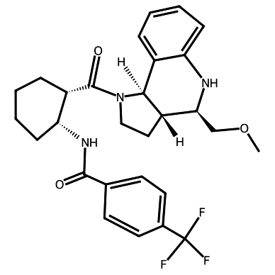 COC[C@@H]1Nc2ccccc2[C@H]2[C@H]1CCN2C(=O)[C@H]1CCCC[C@H]1NC(=O)c1ccc(C(F)(F)F)cc1